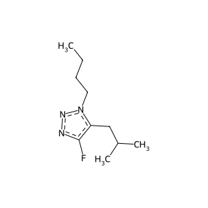 CCCCn1nnc(F)c1CC(C)C